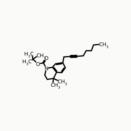 CCCCCC#CCc1ccc2c(c1)N(C(=O)OC(C)(C)C)CCC2(C)C